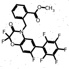 COC(=O)c1ccccc1CN1C(=O)C(F)(F)Oc2cc(F)c(-c3c(F)c(F)c(F)c(F)c3F)cc21